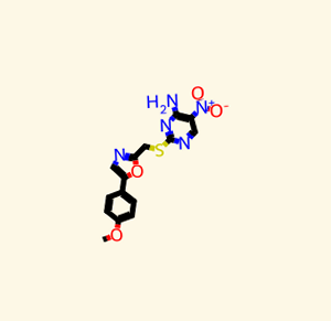 COc1ccc(-c2cnc(CSc3ncc([N+](=O)[O-])c(N)n3)o2)cc1